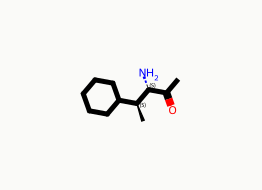 CC(=O)[C@@H](N)[C@@H](C)C1CCCCC1